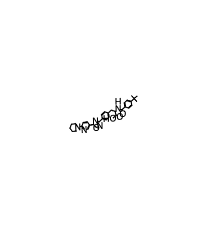 CC(C)(C)c1ccc(C(=O)NC(Cc2ccc(-c3noc(-c4ccc(N5CCCCC5)nc4)n3)cc2)C(=O)O)cc1